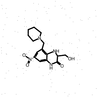 O=C1Nc2cc([N+](=O)[O-])cc(CN3CCCCC3)c2NC1CO